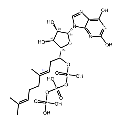 CC(C)=CCC/C(C)=C/CC(OP(=O)(O)OP(=O)(O)OP(=O)(O)O)[C@H]1O[C@@H](n2cnc3c(O)nc(O)nc32)[C@H](O)[C@@H]1O